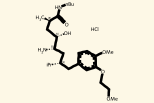 CCCCNC(=O)[C@H](C)C[C@H](O)[C@@H](N)C[C@H](Cc1ccc(OC)c(OCCOC)c1)C(C)C.Cl